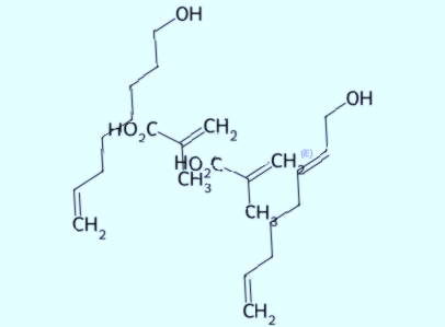 C=C(C)C(=O)O.C=C(C)C(=O)O.C=CCCC/C=C/CO.C=CCCCCCCO